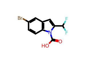 O=C(O)n1c(C(F)F)cc2cc(Br)ccc21